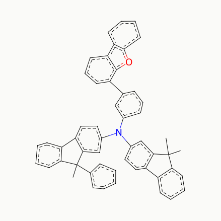 CC1(C)c2ccccc2-c2ccc(N(c3cccc(-c4cccc5c4oc4ccccc45)c3)c3ccc4c(c3)C(C)(c3ccccc3)c3ccccc3-4)cc21